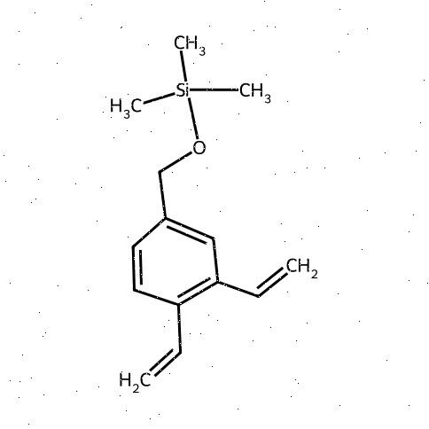 C=Cc1ccc(CO[Si](C)(C)C)cc1C=C